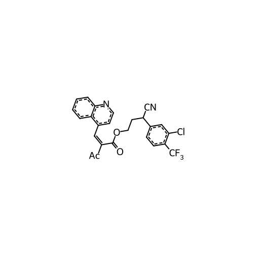 CC(=O)C(=Cc1ccnc2ccccc12)C(=O)OCCC(C#N)c1ccc(C(F)(F)F)c(Cl)c1